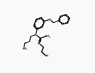 CC(C)CC/N=C(\N)N(CCCN)c1cccc(OCc2ccccc2)c1